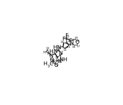 CS(=O)(=O)c1n[nH]c2nc(Nc3ccc(N4CCOCC4)c(C(F)(F)F)c3)nc(NC3CC3)c12